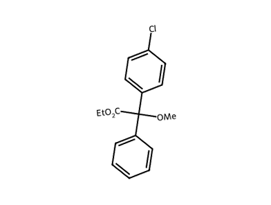 CCOC(=O)C(OC)(c1ccccc1)c1ccc(Cl)cc1